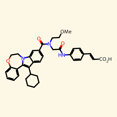 COCCN(CC(=O)Nc1ccc(C=CC(=O)O)cc1)C(=O)c1ccc2c(C3CCCCC3)c3n(c2c1)CCOc1ccccc1-3